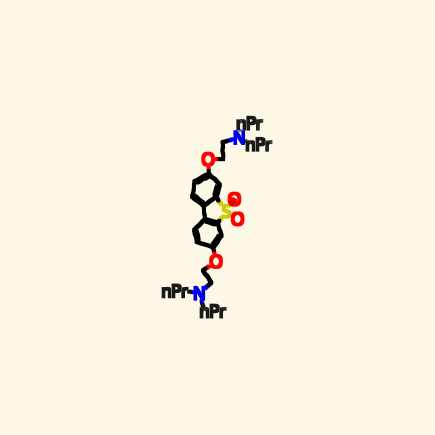 CCCN(CCC)CCOc1ccc2c(c1)S(=O)(=O)c1cc(OCCN(CCC)CCC)ccc1-2